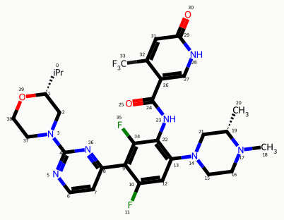 CC(C)[C@@H]1CN(c2nccc(-c3c(F)cc(N4CCN(C)[C@@H](C)C4)c(NC(=O)c4c[nH]c(=O)cc4C(F)(F)F)c3F)n2)CCO1